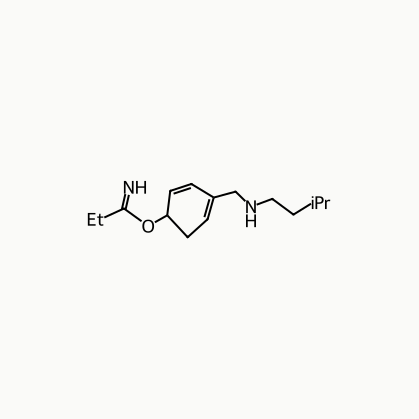 CCC(=N)OC1C=CC(CNCCC(C)C)=CC1